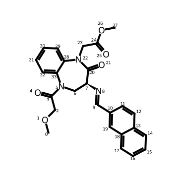 COCC(=O)N1C[C@H](N=Cc2ccc3ccccc3c2)C(=O)N(CC(=O)OC)c2ccccc21